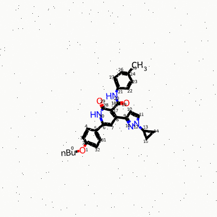 CCCCOc1ccc(-c2cc(-c3ccn(C4CC4)n3)c(C(=O)Nc3ccc(C)cc3)c(=O)[nH]2)cc1